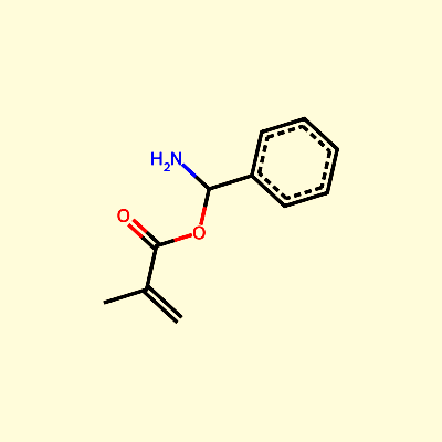 C=C(C)C(=O)OC(N)c1ccccc1